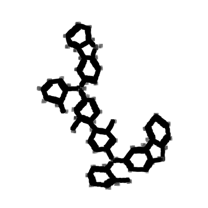 Cc1cc(N(c2ccc3oc4ccccc4c3c2)c2ccccc2C)ccc1-c1ccc(N(c2ccc3oc4ccccc4c3c2)c2ccccc2C)cc1C